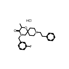 CC1OC2(CCN(CCc3ccccc3)CC2)CN(Cc2cccc(F)c2)C1=O.Cl